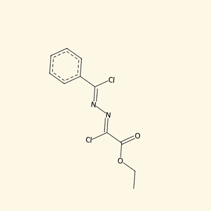 CCOC(=O)C(Cl)=NN=C(Cl)c1ccccc1